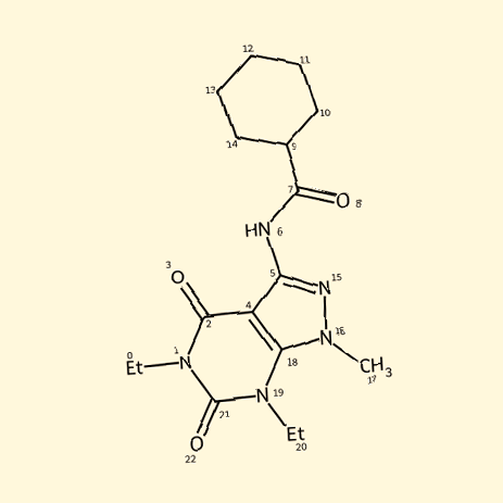 CCn1c(=O)c2c(NC(=O)C3CCCCC3)nn(C)c2n(CC)c1=O